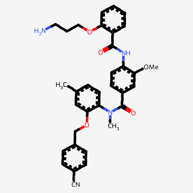 COc1cc(C(=O)N(C)c2ccc(C)cc2OCc2ccc(C#N)cc2)ccc1NC(=O)c1ccccc1OCCCN